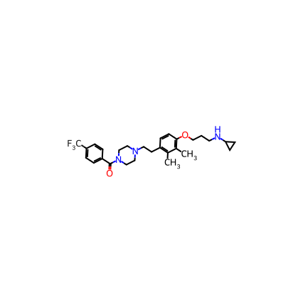 Cc1c(CCN2CCN(C(=O)c3ccc(C(F)(F)F)cc3)CC2)ccc(OCCCNC2CC2)c1C